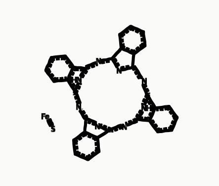 [S]=[Fe].c1ccc2c(c1)-c1nc-2nc2[nH]c(nc3nc(nc4[nH]c(n1)c1ccccc41)-c1ccccc1-3)c1ccccc21